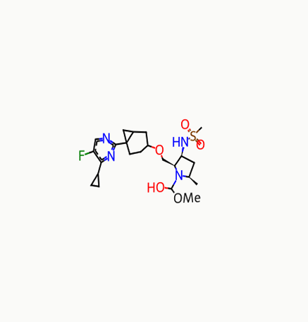 COC(O)N1[C@H](C)C[C@H](NS(C)(=O)=O)[C@@H]1COC1CCC2(c3ncc(F)c(C4CC4)n3)CC2C1